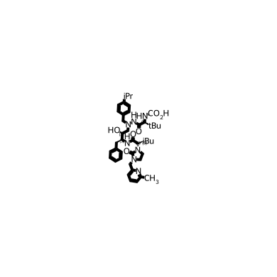 CC[C@H](C)[C@@H](C(=O)N[C@@H](Cc1ccccc1)[C@@H](O)CN(Cc1ccc(C(C)C)cc1)NC(=O)[C@@H](NC(=O)O)C(C)(C)C)N1CCN(Cc2cccc(C)n2)C1=O